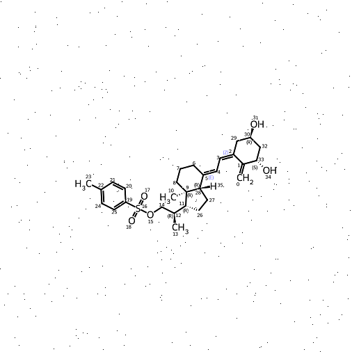 C=C1/C(=C\C=C2/CCC[C@]3(C)[C@@H]([C@@H](C)COS(=O)(=O)c4ccc(C)cc4)CC[C@@H]23)C[C@@H](O)C[C@@H]1O